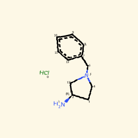 Cl.N[C@@H]1CCN(Cc2ccccc2)C1